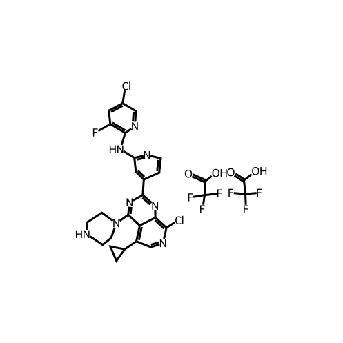 Fc1cc(Cl)cnc1Nc1cc(-c2nc(N3CCNCC3)c3c(C4CC4)cnc(Cl)c3n2)ccn1.O=C(O)C(F)(F)F.O=C(O)C(F)(F)F